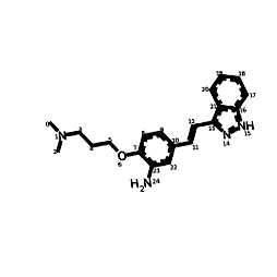 CN(C)CCCOc1ccc(/C=C/c2n[nH]c3ccccc23)cc1N